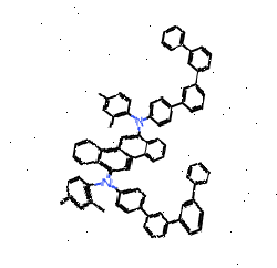 Cc1ccc(N(c2ccc(-c3cccc(-c4cccc(-c5ccccc5)c4)c3)cc2)c2cc3c4ccccc4c(N(c4ccc(-c5cccc(-c6cccc(-c7ccccc7)c6)c5)cc4)c4ccc(C)cc4C)cc3c3ccccc23)c(C)c1